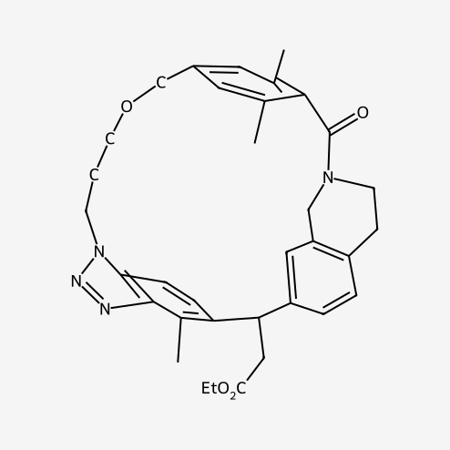 CCOC(=O)CC1c2ccc3c(c2)CN(CC3)C(=O)c2c(C)cc(cc2C)COCCCn2nnc3c(C)c1ccc32